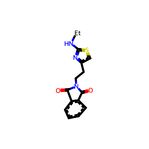 CCNc1nc(CCN2C(=O)c3ccccc3C2=O)cs1